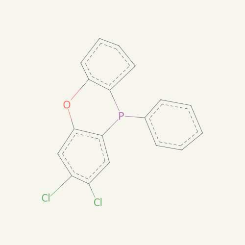 Clc1cc2c(cc1Cl)P(c1ccccc1)c1ccccc1O2